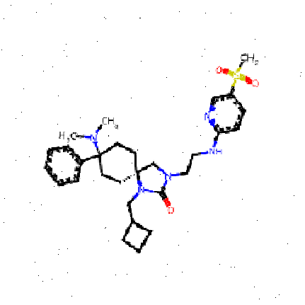 CN(C)[C@]1(c2ccccc2)CC[C@]2(CC1)CN(CCNc1ccc(S(C)(=O)=O)cn1)C(=O)N2CC1CCC1